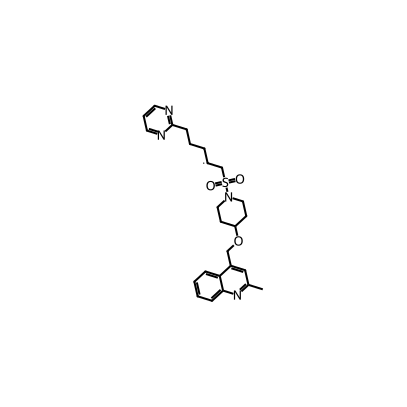 Cc1cc(COC2CCN(S(=O)(=O)C[CH]CCCc3ncccn3)CC2)c2ccccc2n1